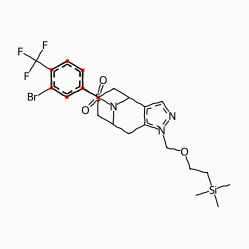 C[Si](C)(C)CCOCn1ncc2c1CC1CC(c3cccc(Br)c3)CC2N1S(=O)(=O)c1ccc(C(F)(F)F)cc1